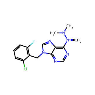 C=[N+](c1ncnc2c1ncn2Cc1c(F)cccc1Cl)N(C)C